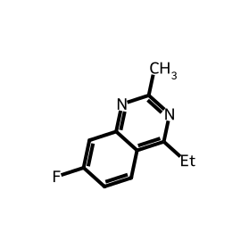 CCc1nc(C)nc2cc(F)ccc12